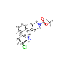 CC(C)(C)OC(=O)N1CCC([C@H](C#N)c2ccccc2-c2ccc(Cl)cc2)CC1